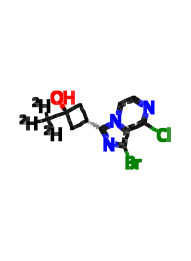 [2H]C([2H])([2H])[C@]1(O)C[C@H](c2nc(Br)c3c(Cl)nccn32)C1